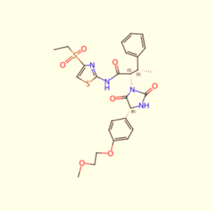 CCS(=O)(=O)c1csc(NC(=O)[C@H]([C@@H](C)c2ccccc2)N2C(=O)N[C@H](c3ccc(OCCOC)cc3)C2=O)n1